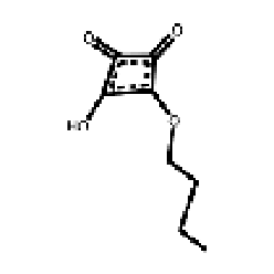 CCCCOc1c(O)c(=O)c1=O